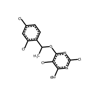 CC(Oc1nc(Cl)nc(C(C)(C)C)c1Cl)c1ccc(Cl)cc1Cl